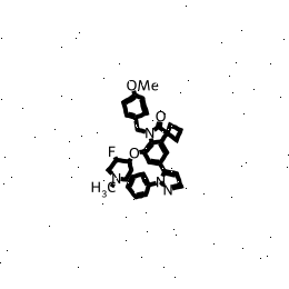 COc1ccc(CN2C(=O)C3(CCC3)c3cc(-c4ccnn4-c4ccccc4)cc(OC4CCN(C)CC4F)c32)cc1